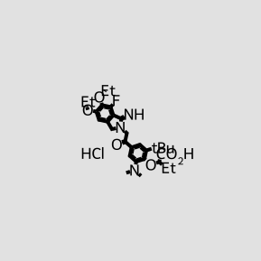 CCOc1cc2c(c(F)c1OCC)C(=N)N(CC(=O)c1cc(N(C)C)c(OC(CC)C(=O)O)c(C(C)(C)C)c1)C2.Cl